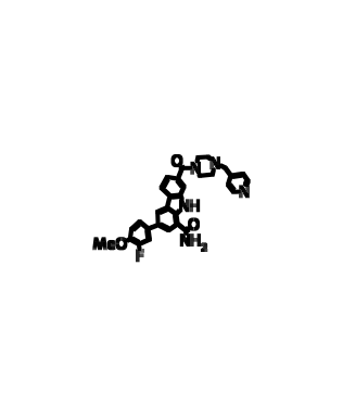 COc1ccc(-c2cc(C(N)=O)c3[nH]c4cc(C(=O)N5CCN(Cc6ccncc6)CC5)ccc4c3c2)cc1F